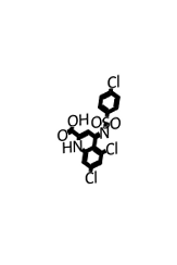 O=C(O)c1cc(=NS(=O)(=O)c2ccc(Cl)cc2)c2c(Cl)cc(Cl)cc2[nH]1